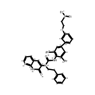 CCN(CC)CCSc1cccc(-c2cc(C(C)C)c(NC(=O)N(CCc3ccccc3)c3cc4cccnc4[nH]c3=O)c(C(C)C)c2)c1